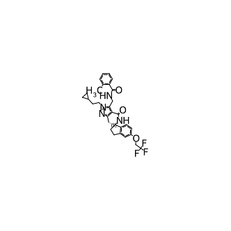 Cc1ccccc1C(=O)NCc1c2c(nn1CCC1CC1)C[C@]1(CCc3cc(OCC(F)(F)F)ccc31)NC2=O